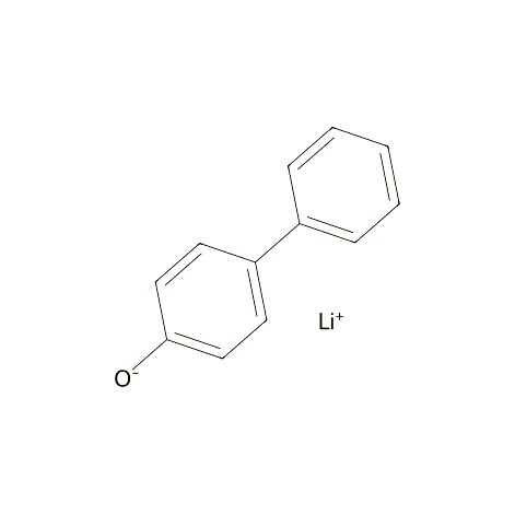 [Li+].[O-]c1ccc(-c2ccccc2)cc1